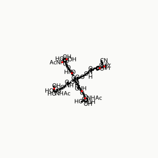 CC(=O)N[C@H]1[C@H](OCCOCCNC(=O)CCOCC(COCCC(=O)NCCOCCO[C@@H]2O[C@H](CO)[C@H](O)[C@H](O)[C@H]2NC(C)=O)(COCCC(=O)NCCOCCO[C@@H]2O[C@H](CO)[C@H](O)[C@H](O)[C@H]2NC(C)=O)NC(=O)CCOCCOCCNC(=O)CCc2ccc(OP(OCCC#N)N(C(C)C)C(C)C)cc2)O[C@H](CO)[C@H](O)[C@@H]1O